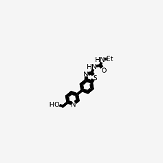 CCNC(=O)Nc1nc2cc(-c3ccc(CO)nc3)ccc2s1